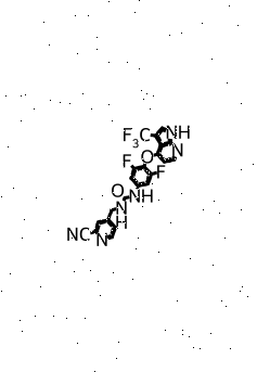 N#Cc1cc(CNC(=O)Nc2cc(F)c(Oc3ccnc4[nH]cc(C(F)(F)F)c34)c(F)c2)ccn1